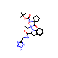 CC[N+]([O-])(C(=O)C1(NC(=O)OC(C)(C)C)CCCC1)N1c2ccccc2CC1C(=O)NCc1nn[nH]n1